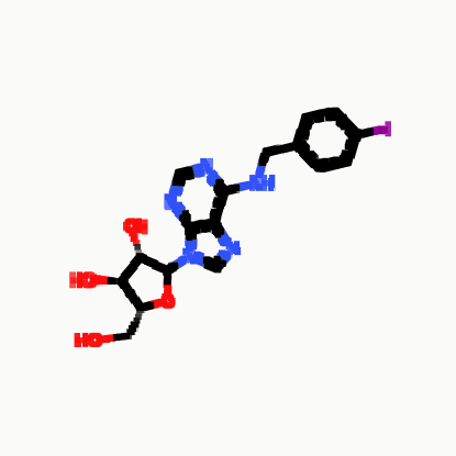 OC[C@H]1OC(n2cnc3c(NCc4ccc(I)cc4)ncnc32)[C@@H](O)[C@@H]1O